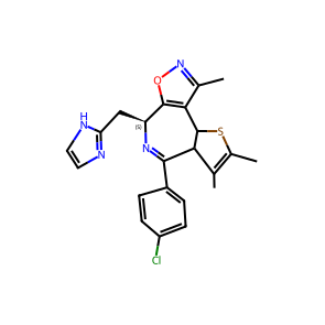 CC1=C(C)C2C(c3ccc(Cl)cc3)=N[C@@H](Cc3ncc[nH]3)c3onc(C)c3C2S1